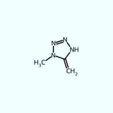 C=C1NN=NN1C